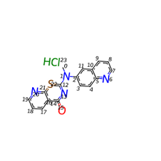 CN(c1ccc2ncccc2c1)c1nc(=O)c2cccnc2s1.Cl